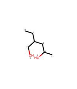 CCC(CO)CC(C)O